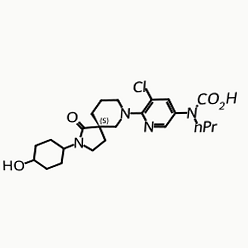 CCCN(C(=O)O)c1cnc(N2CCC[C@]3(CCN(C4CCC(O)CC4)C3=O)C2)c(Cl)c1